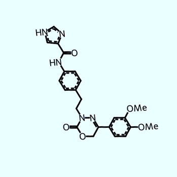 COc1ccc(C2=NN(CCc3ccc(NC(=O)c4c[nH]cn4)cc3)C(=O)OC2)cc1OC